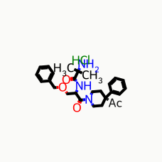 CC(=O)C1(c2ccccc2)CCN(C(=O)C(COCc2ccccc2)NC(=O)C(C)(C)N)CC1.Cl